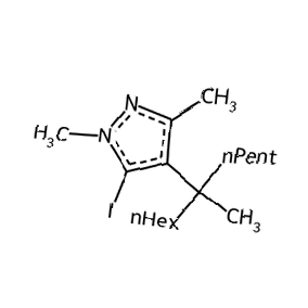 CCCCCCC(C)(CCCCC)c1c(C)nn(C)c1I